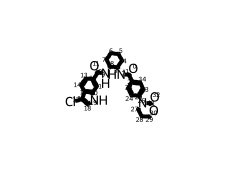 O=C(NC1CCCCC1NC(=O)c1ccc2c(Cl)c[nH]c2c1)c1ccc(N2CCCOC2=O)cc1